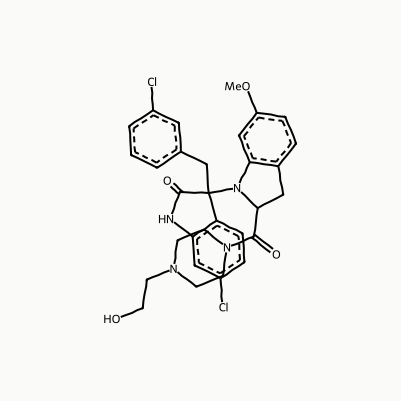 COc1ccc2c(c1)N(C1(Cc3cccc(Cl)c3)C(=O)Nc3cc(Cl)ccc31)C(C(=O)N1CCN(CCO)CC1)C2